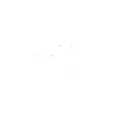 C=C[C](CC)C(C)C(=C)C